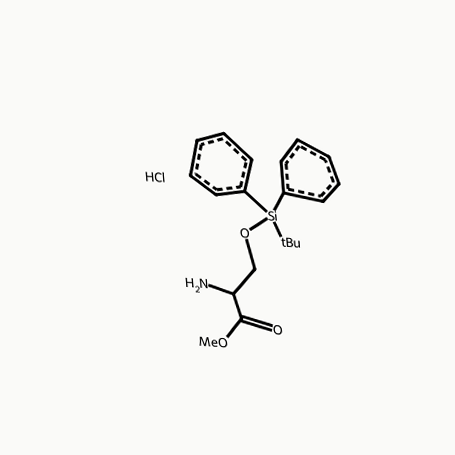 COC(=O)C(N)CO[Si](c1ccccc1)(c1ccccc1)C(C)(C)C.Cl